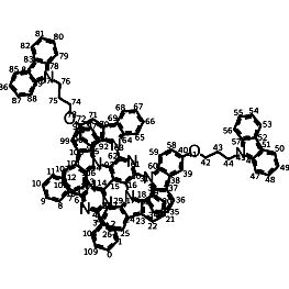 c1ccc(-c2nc(-c3ccccc3)nc(-c3c(-n4c5ccccc5c5ccccc54)c(-n4c5ccccc5c5cc(OCCCn6c7ccccc7c7ccccc76)ccc54)nc(-n4c5ccccc5c5cc(OCCCn6c7ccccc7c7ccccc76)ccc54)c3-n3c4ccccc4c4ccccc43)n2)cc1